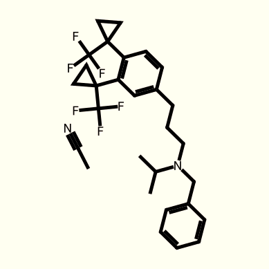 CC#N.CC(C)N(CCCc1ccc(C2(C(F)(F)F)CC2)c(C2(C(F)(F)F)CC2)c1)Cc1ccccc1